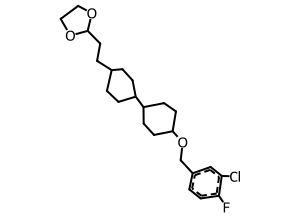 Fc1ccc(COC2CCC(C3CCC(CCC4OCCO4)CC3)CC2)cc1Cl